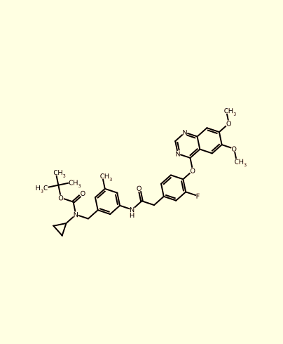 COc1cc2ncnc(Oc3ccc(CC(=O)Nc4cc(C)cc(CN(C(=O)OC(C)(C)C)C5CC5)c4)cc3F)c2cc1OC